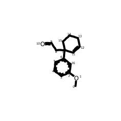 COc1cccc(C2(CC=O)C=CCCC2)c1